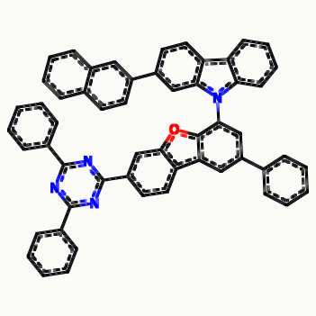 c1ccc(-c2cc(-n3c4ccccc4c4ccc(-c5ccc6ccccc6c5)cc43)c3oc4cc(-c5nc(-c6ccccc6)nc(-c6ccccc6)n5)ccc4c3c2)cc1